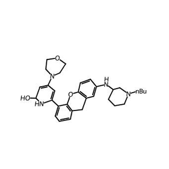 CCCCN1CCCC(Nc2ccc3c(c2)Cc2cccc(C4=CC(N5CCOCC5)=CC(O)N4)c2O3)C1